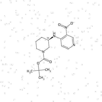 CC(C)(C)OC(=O)N1CCC[C@@H](Nc2ccncc2[N+](=O)[O-])C1